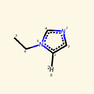 [2H]c1cncn1CC